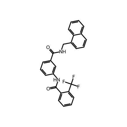 O=C(NCc1cccc2ccccc12)c1cccc(NC(=O)c2ccccc2C(F)(F)F)c1